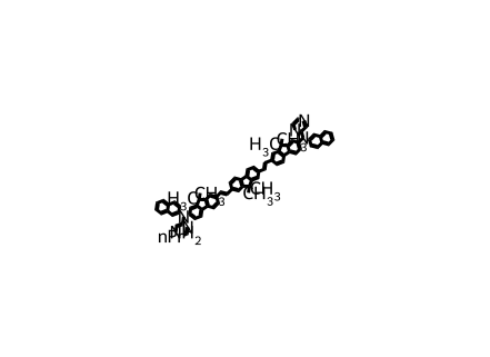 CCC/C=N\C(=C/N)N(c1ccc2c(c1)C(C)(C)c1cc(/C=C/c3ccc4c(c3)C(C)(C)c3cc(/C=C/c5ccc6c(c5)C(C)(C)c5cc(N(c7ccc8ccccc8c7)c7cnccn7)ccc5-6)ccc3-4)ccc1-2)c1ccc2ccccc2c1